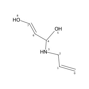 C=CCNC(O)C=CO